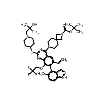 C=Cc1cc2c(N3CCC4(CC3)CN(C(=O)OC(C)(C)C)C4)nc(OC3CCN(CC(C)(C)O)CC3)nc2c(OCC(F)(F)F)c1-c1c(C)ccc2[nH]ncc12